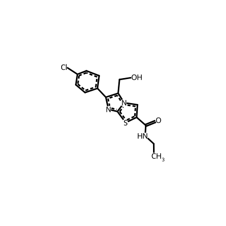 CCNC(=O)c1cn2c(CO)c(-c3ccc(Cl)cc3)nc2s1